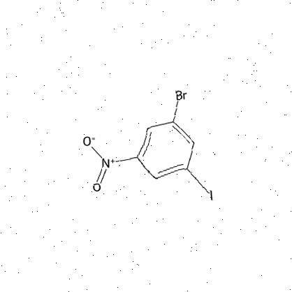 O=[N+]([O-])c1cc(Br)cc(I)c1